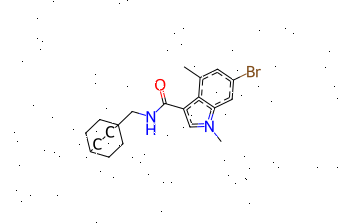 Cc1cc(Br)cc2c1c(C(=O)NCC13CCC(CC1)CC3)cn2C